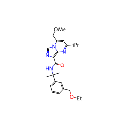 CCOCc1cccc(C(C)(C)NC(=O)c2ncn3c(COC)cc(C(C)C)nc23)c1